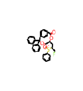 O=C1OC(CC(CF)[S+]([O-])c2ccccc2)COC(c2ccccc2)(c2ccccc2)c2ccc1cc2